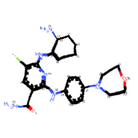 NC(=O)c1cc(F)c(NC2CCCC[C@@H]2N)nc1Nc1ccc(N2CCOCC2)cc1